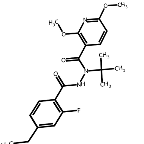 CCc1ccc(C(=O)NN(C(=O)c2ccc(OC)nc2OC)C(C)(C)C)c(F)c1